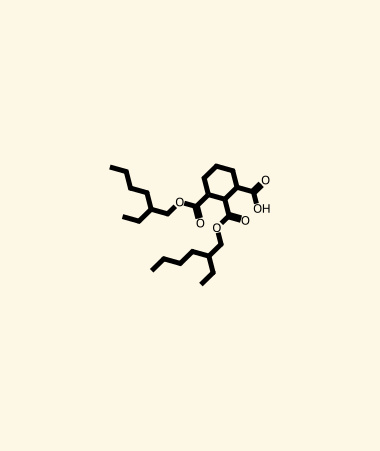 CCCCC(CC)COC(=O)C1CCCC(C(=O)O)C1C(=O)OCC(CC)CCCC